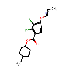 C/C=C/Oc1ccc(C(=O)OC2CCC(C)CC2)c(F)c1F